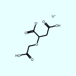 O=C(O)COC(CC(=O)O)C(=O)[O-].[Li+]